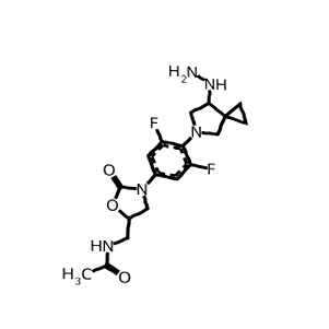 CC(=O)NCC1CN(c2cc(F)c(N3CC(NN)C4(CC4)C3)c(F)c2)C(=O)O1